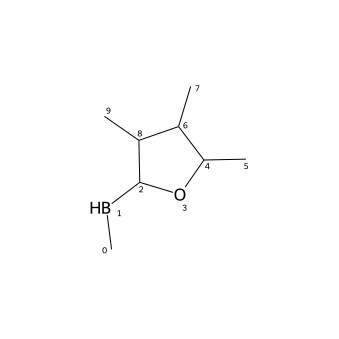 CBC1OC(C)C(C)C1C